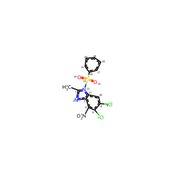 Cc1nc2c([N+](=O)[O-])c(Cl)c(Cl)cc2n1S(=O)(=O)c1ccccc1